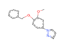 COc1cc(-n2cccn2)ccc1OCc1ccccc1